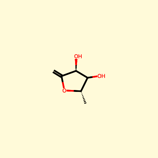 C=C1O[C@@H](C)C(O)[C@@H]1O